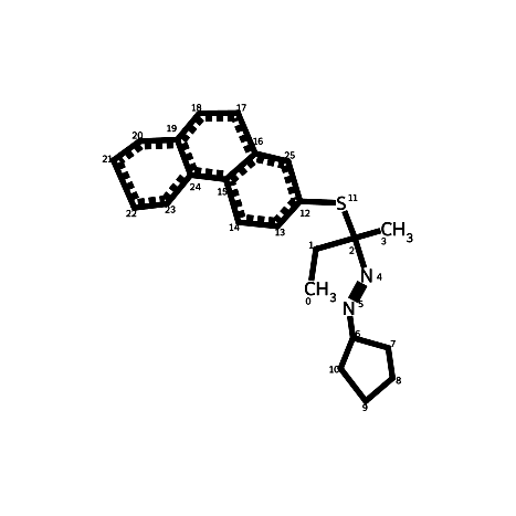 CCC(C)(N=NC1CCCC1)Sc1ccc2c(ccc3ccccc32)c1